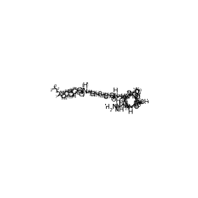 CC(C)CCCC(C)C1CCC2C3CC=C4CC(OC(=O)NCCOCCOCCOCCOC(=O)NCCCC[C@@H]5NC(=O)[C@@H](Cc6ccccc6)NC(=O)[C@H](CC(=O)O)NC(=O)CNC(=O)[C@H](CCCNC(=N)N)NC5=O)CCC4(C)C3CCC12C